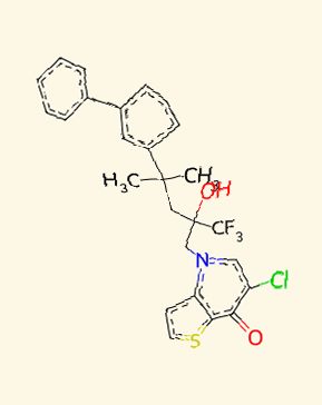 CC(C)(CC(O)(Cn1cc(Cl)c(=O)c2sccc21)C(F)(F)F)c1cccc(-c2ccccc2)c1